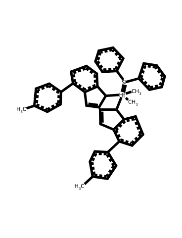 Cc1ccc(-c2cccc3c2C=C[CH]3[Hf]([CH3])([CH3])([CH]2C=Cc3c(-c4ccc(C)cc4)cccc32)=[Si](c2ccccc2)c2ccccc2)cc1